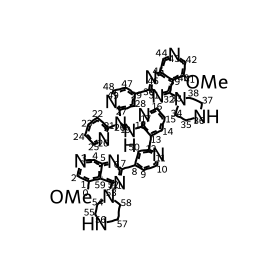 COc1cncc2nc(-c3ccnc(-c4cccnc4NN(c4ccccn4)c4cc(-c5nc(N6CCNCC6)c6c(OC)cncc6n5)ccn4)c3)nc(N3CCNCC3)c12